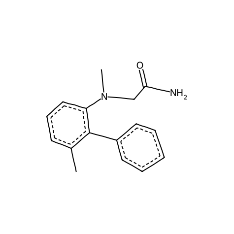 Cc1cccc(N(C)CC(N)=O)c1-c1ccccc1